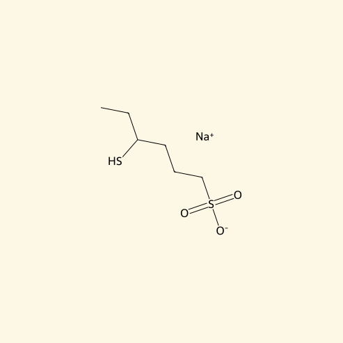 CCC(S)CCCS(=O)(=O)[O-].[Na+]